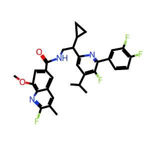 COc1cc(C(=O)NCC(c2cc(C(C)C)c(F)c(-c3ccc(F)c(F)c3)n2)C2CC2)cc2cc(C)c(F)nc12